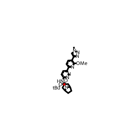 COc1nc(-c2ccc(NC3CC4CCC(C3)N4C(=O)OC(C)(C)C)nn2)ccc1-c1cn(C)nn1